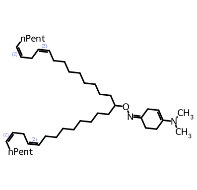 CCCCC/C=C\C/C=C\CCCCCCCCC(CCCCCCCC/C=C\C/C=C\CCCCC)ON=C1CC=C(N(C)C)CC1